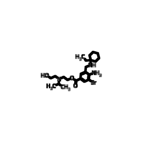 CCC1(NCc2cc(C(=O)OCCN(CCO)C(C)C)cc(Br)c2N)CCCCC1